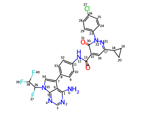 Nc1ncnc2c1c(-c1ccc(NC(=O)c3cc(C4CC4)nn(-c4ccc(Cl)cc4)c3=O)cc1)cn2C(F)C(F)F